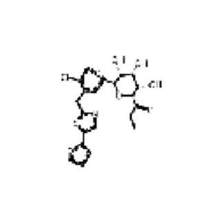 CCC(=O)[C@H]1O[C@@H](c2ccc(Cl)c(Cc3ncc(-c4ccco4)s3)c2)[C@H](O)[C@H](O)[C@@H]1O